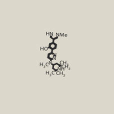 CN/C=C(\C=N)c1ccc(-c2ccc(N(C)C3CC(C)(C)NC(C)(C)C3)nn2)c(O)c1